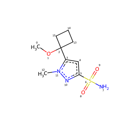 COC1(c2cc(S(N)(=O)=O)nn2C)CCC1